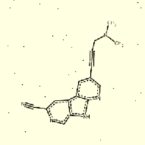 CN(C)CC#Cc1cnc2[nH]c3cnc(C#N)cc3c2c1